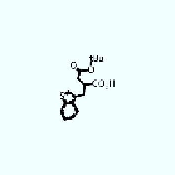 CC(C)(C)OC(=O)CC(Cc1csc2ccccc12)C(=O)O